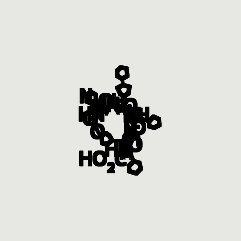 O=C1COc2ccc(cc2)C[C@@H](C(=O)N[C@@H](Cc2ccccc2)C(=O)O)NC(=O)[C@H](CCc2ccccc2)NC(=O)[C@@H](Cc2ccc(-c3ccccc3)cc2)NC(=O)[C@H](Cc2ccncc2)N1